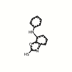 Sc1nc2cccc(Nc3ccccc3)c2o1